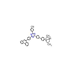 C[C@@H]1C[C@@H]2C[C@H](C)CC(c3ccc(-c4ccc(-c5nc(-c6ccc(C#N)cc6)nc(-c6ccc(-c7cc8ccccc8c8ccccc78)cc6)n5)cc4)cc3)(C1)C2